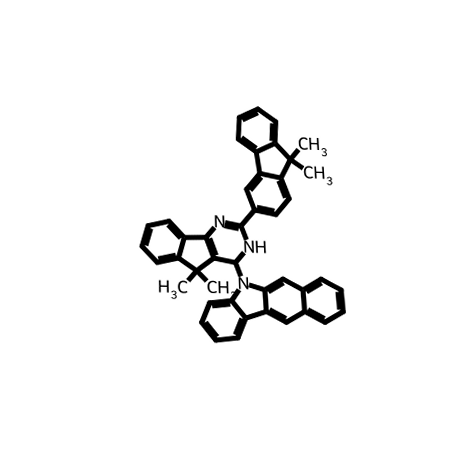 CC1(C)C2=C(N=C(c3ccc4c(c3)-c3ccccc3C4(C)C)NC2n2c3ccccc3c3cc4ccccc4cc32)c2ccccc21